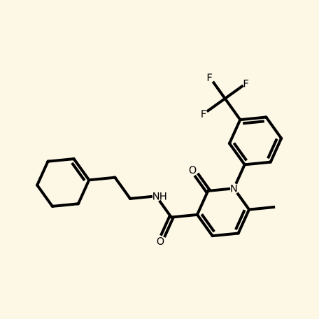 Cc1ccc(C(=O)NCCC2=CCCCC2)c(=O)n1-c1cccc(C(F)(F)F)c1